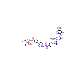 CNc1cc(-n2ccc3cc(C#N)cnc32)ncc1-c1nnc([C@H]2CC[C@H](NC(=O)CN3CCN(c4ccc5c(c4)C(=O)N(C4CCC(=O)NC4=O)C5=O)CC3)CC2)s1